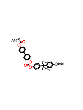 COc1ccc(C(C)(C)c2ccc(OC(=O)Oc3ccc(-c4ccc(OC(=O)SC)cc4)cc3)cc2)cc1